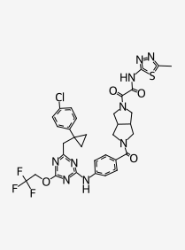 Cc1nnc(NC(=O)C(=O)N2CC3CN(C(=O)c4ccc(Nc5nc(CC6(c7ccc(Cl)cc7)CC6)nc(OCC(F)(F)F)n5)cc4)CC3C2)s1